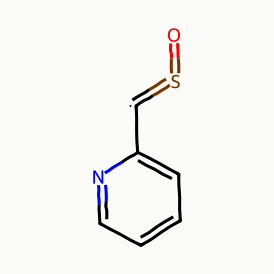 O=S=[C]c1ccccn1